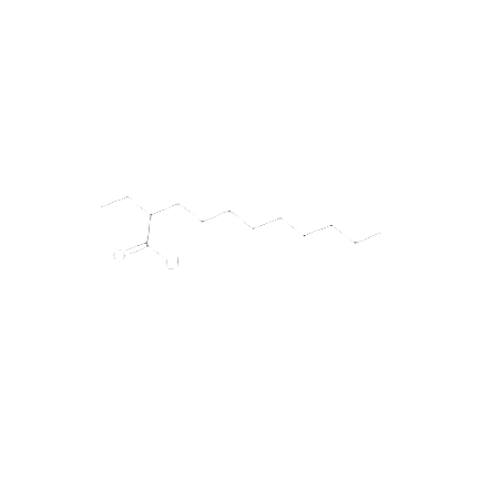 CCCCCCCCCC(CC)C(=O)Cl